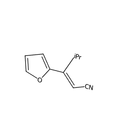 CC(C)/C(=C\C#N)c1ccco1